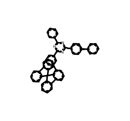 c1ccc(-c2ccc(-c3nc(-c4ccccc4)nc(-c4cccc(-c5cccc6c5C5(c7ccccc7-c7ccccc75)c5ccccc5-6)c4)n3)cc2)cc1